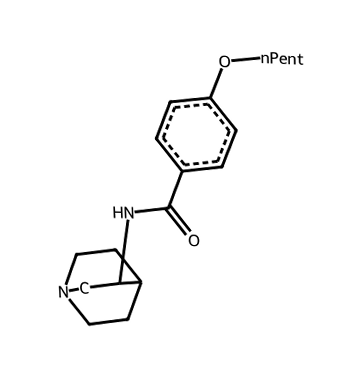 CCCCCOc1ccc(C(=O)NC2CN3CCC2CC3)cc1